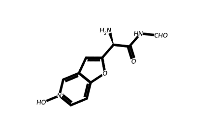 N[C@@H](C(=O)NC=O)c1cc2c[n+](O)ccc2o1